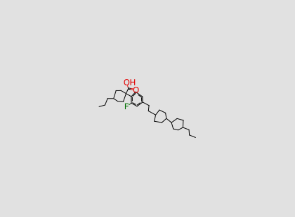 CCCC1CCC(C2CCC(CCc3ccc(C4(C(=O)O)CCC(CCC)CC4)c(F)c3)CC2)CC1